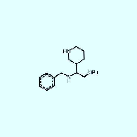 CC[C@H](C)CC(NCc1ccccc1)C1CCCNC1